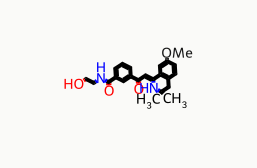 COc1ccc2c(c1)C(=CC(=O)c1cccc(C(=O)NCCO)c1)NC(C)(C)C2